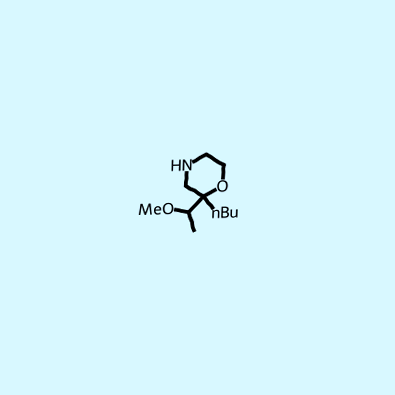 CCCCC1(C(C)OC)CNCCO1